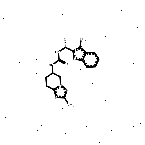 Cc1nc2n(n1)CC(NC(=O)N[C@H](C)c1oc3ccccc3c1C)CC2